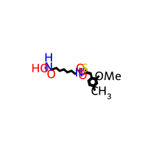 COc1cc(C)ccc1C=C1ON(CCCCCCC(=O)NO)OS1